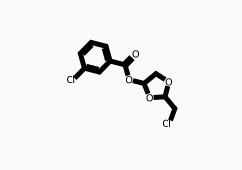 O=C(OC1COC(CCl)O1)c1cccc(Cl)c1